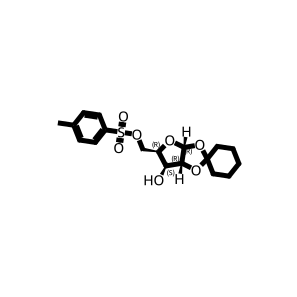 Cc1ccc(S(=O)(=O)OC[C@H]2O[C@@H]3OC4(CCCCC4)O[C@@H]3[C@H]2O)cc1